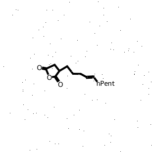 CCCCCC=CCCCC1CC(=O)OC1=O